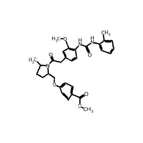 COC(=O)c1ccc(OCC2CCC(C)N2C(=O)Cc2ccc(NC(=O)Nc3ccccc3C)c(OC)c2)cc1